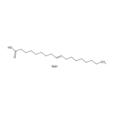 CCCCCCCCC=CCCCCCCCC(=O)O.[NaH]